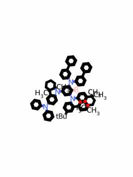 CC(C)(C)c1ccc(N2c3cc4c(cc3B3c5ccc(-c6ccccc6)cc5N(c5cccc(-c6ccccc6)c5)c5cc(N6c7ccc(N(c8ccccc8)c8ccccc8)cc7C7(C)CCCCC67C)cc2c53)C(C)(C)CCC4(C)C)c(-c2ccccc2)c1